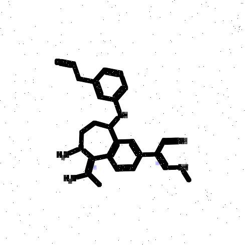 CN/C=C(\C=N)c1ccc2c(c1)C(Nc1cccc(CC=O)c1)CCN(N)/C2=C(/C)N